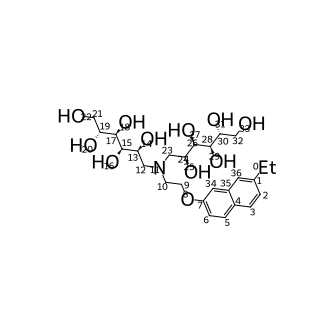 CCc1ccc2ccc(OCCN(C[C@H](O)[C@@H](O)[C@H](O)[C@H](O)CO)C[C@H](O)[C@@H](O)[C@H](O)[C@H](O)CO)cc2c1